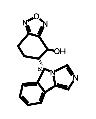 OC1c2nonc2CCC1[C@H]1c2ccccc2-c2cncn21